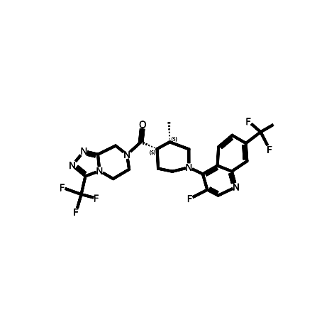 C[C@@H]1CN(c2c(F)cnc3cc(C(C)(F)F)ccc23)CC[C@@H]1C(=O)N1CCn2c(nnc2C(F)(F)F)C1